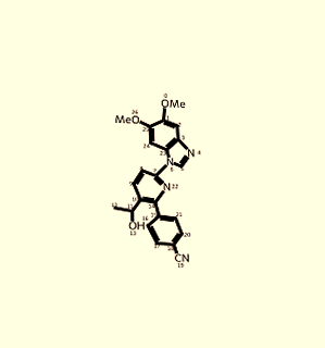 COc1cc2ncn(-c3ccc(C(C)O)c(-c4ccc(C#N)cc4)n3)c2cc1OC